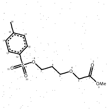 COC(=O)COCCCOS(=O)(=O)c1ccc(C)cc1